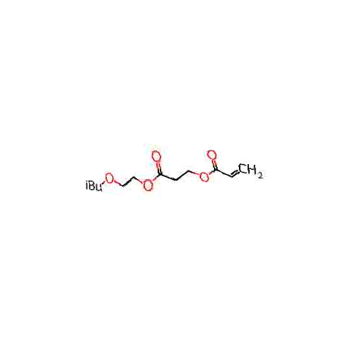 C=CC(=O)OCCC(=O)OCCOC(C)CC